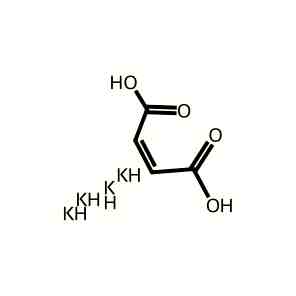 O=C(O)/C=C\C(=O)O.[KH].[KH].[KH].[KH]